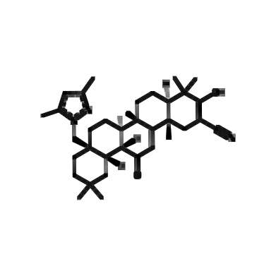 Cc1cc(C)n(C[C@]23CCC(C)(C)C[C@H]2[C@H]2C(=O)C=C4[C@@]5(C)CC(C#N)=C(O)C(C)(C)[C@@H]5CC[C@@]4(C)[C@]2(C)CC3)n1